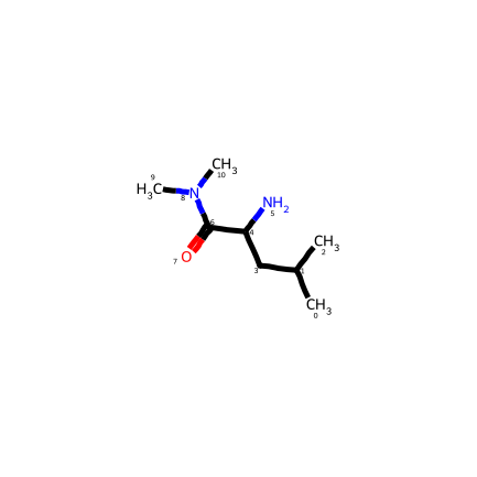 CC(C)CC(N)C(=O)N(C)C